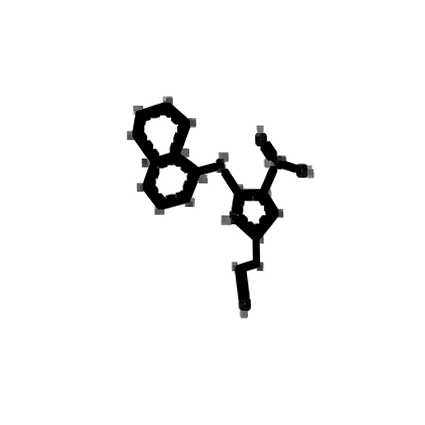 O=CCc1cc([N+](=O)[O-])c(Sc2cccc3ccccc23)s1